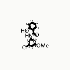 COc1cc(Cl)nc(NC(=O)c2ccccc2O)n1